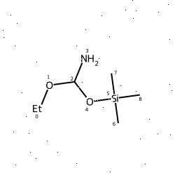 CCOC(N)O[Si](C)(C)C